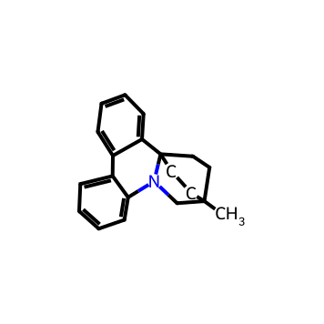 CC12CCC3(CC1)c1ccccc1-c1ccccc1N3C2